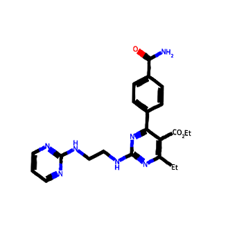 CCOC(=O)c1c(CC)nc(NCCNc2ncccn2)nc1-c1ccc(C(N)=O)cc1